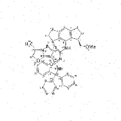 COC[C@@H]1CCc2cc3c(c(NC(=O)N=[S@@](=O)(NC(c4ccccc4)(c4ccccc4)c4ccccc4)c4cnn5c4OC[C@@H]5C)c21)CCC3